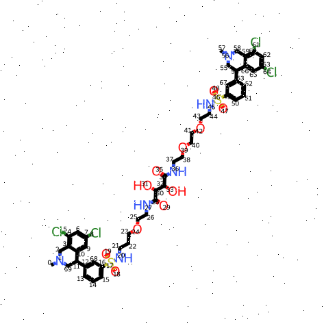 CN1Cc2c(Cl)cc(Cl)cc2C(c2cccc(S(=O)(=O)NCCCOCCNC(=O)C(O)C(O)C(=O)NCCOCCOCCNS(=O)(=O)c3cccc(C4CN(C)Cc5c(Cl)cc(Cl)cc54)c3)c2)C1